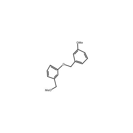 COCc1cccc(OCc2cccc(OC)c2)c1